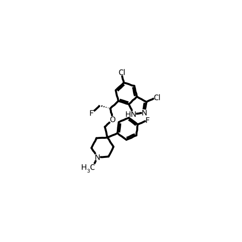 CN1CCC(CO[C@H](CF)c2cc(Cl)cc3c(Cl)n[nH]c23)(c2ccc(F)cc2)CC1